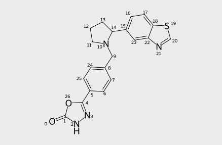 O=c1[nH]nc(-c2ccc(CN3CCCC3c3ccc4scnc4c3)cc2)o1